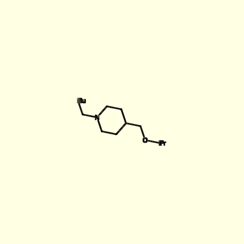 CCC(C)CN1CCC(COC(C)C)CC1